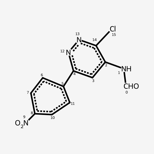 O=CNc1cc(-c2ccc([N+](=O)[O-])cc2)nnc1Cl